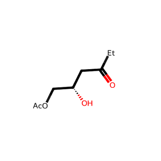 CCC(=O)C[C@H](O)COC(C)=O